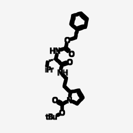 CC(C)C[C@H](NC(=O)OCc1ccccc1)C(=O)NCCC1C=CCN1C(=O)OC(C)(C)C